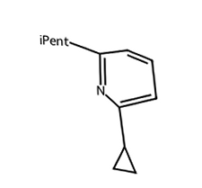 CCCC(C)c1cccc(C2CC2)n1